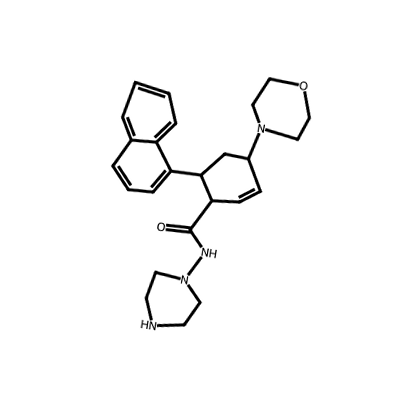 O=C(NN1CCNCC1)C1C=CC(N2CCOCC2)CC1c1cccc2ccccc12